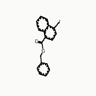 O=C(OCc1ccccc1)c1ccc(I)c2ccccc12